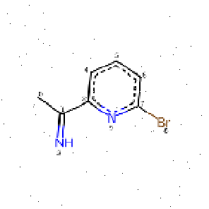 CC(=N)c1cccc(Br)n1